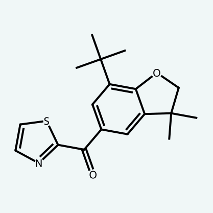 CC(C)(C)c1cc(C(=O)c2nccs2)cc2c1OCC2(C)C